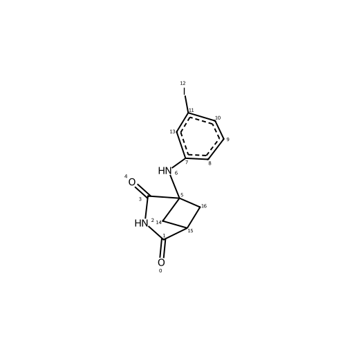 O=C1NC(=O)C2(Nc3cccc(I)c3)CC1C2